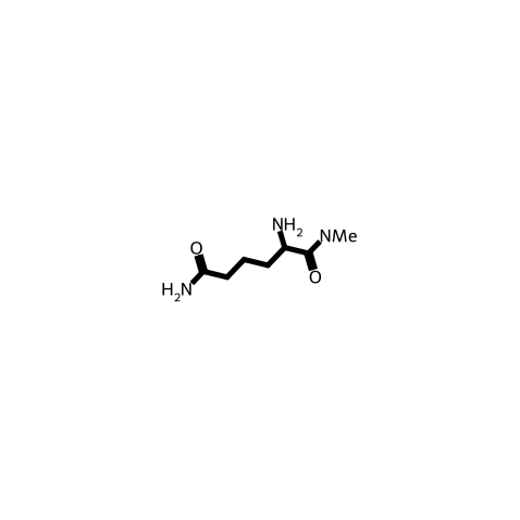 CNC(=O)C(N)CCCC(N)=O